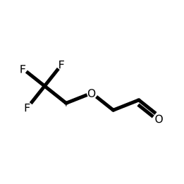 O=CCO[CH]C(F)(F)F